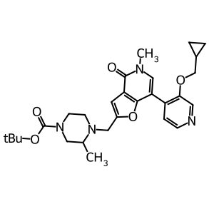 CC1CN(C(=O)OC(C)(C)C)CCN1Cc1cc2c(=O)n(C)cc(-c3ccncc3OCC3CC3)c2o1